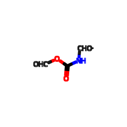 O=[C]NC(=O)OC=O